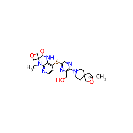 C[C@H]1CC2(CCN(c3ncc(Sc4ccnc5c4NC(=O)C4(COC4)N5C)nc3CO)CC2)CO1